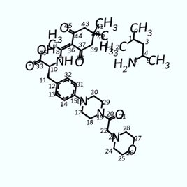 CC(C)CC(C)N.CC(N[C@@H](Cc1ccc(N2CCN(C(=O)CN3CCOCC3)CC2)cc1)C(=O)O)=C1C(=O)CC(C)(C)CC1=O